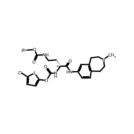 CC(C)OC(=O)NCC[C@@H](NC(=O)Oc1ccc(Cl)s1)C(=O)Nc1ccc2c(c1)CCN(C)CC2